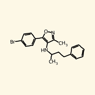 Cc1noc(-c2ccc(Br)cc2)c1NC(C)CCc1ccccc1